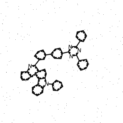 c1ccc(-c2nc(-c3ccccc3)nc(-c3ccc(-c4cccc(-c5nc6ccccc6c6c5ccc5c6c6ccccc6n5-c5ccccc5)c4)cc3)n2)cc1